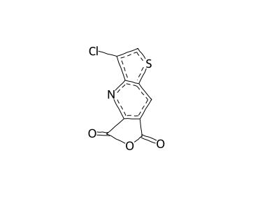 O=C1OC(=O)c2nc3c(Cl)csc3cc21